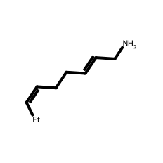 CC/C=C\CC/C=C/CN